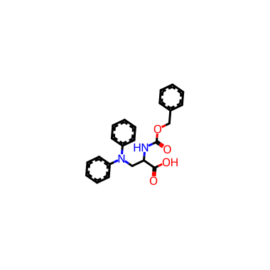 O=C(NC(CN(c1ccccc1)c1ccccc1)C(=O)O)OCc1ccccc1